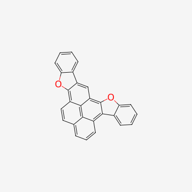 c1ccc2c(c1)oc1c2cc2c3oc4ccccc4c3c3cccc4ccc1c2c43